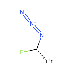 CC(C)[C@H](F)N=[N+]=[N-]